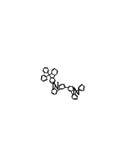 C1=CC2c3cc(-n4c5ccccc5c5cc(-c6ccc7c(c6)c6ccccc6n7-c6ccccc6)ccc54)ccc3C(c3ccccc3)(c3ccccc3)C2C=C1